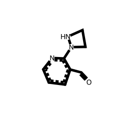 O=Cc1cccnc1N1CCN1